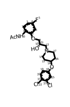 CC(=O)Nc1ccc(F)cc1OC[C@@H](O)CN1CCC(Oc2ccc(Cl)c(Cl)c2)CC1